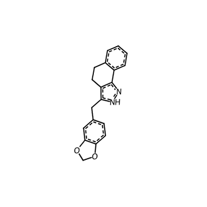 c1ccc2c(c1)CCc1c-2n[nH]c1Cc1ccc2c(c1)OCO2